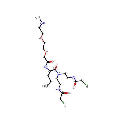 O=CNCCOCCOCC(=O)NC(CCC(=O)O)C(=O)N(CCNC(=O)CCl)CCNC(=O)CCl